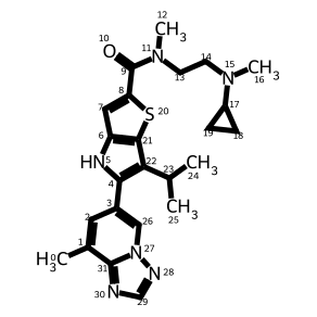 Cc1cc(-c2[nH]c3cc(C(=O)N(C)CCN(C)C4CC4)sc3c2C(C)C)cn2ncnc12